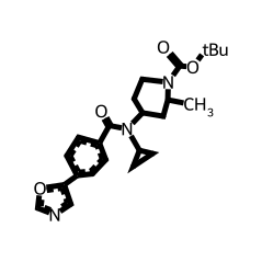 CC1CC(N(C(=O)c2ccc(-c3cnco3)cc2)C2CC2)CCN1C(=O)OC(C)(C)C